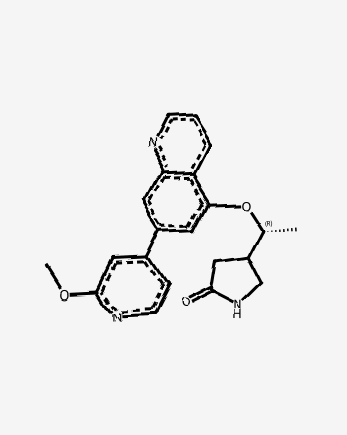 COc1cc(-c2cc(O[C@H](C)C3CNC(=O)C3)c3cccnc3c2)ccn1